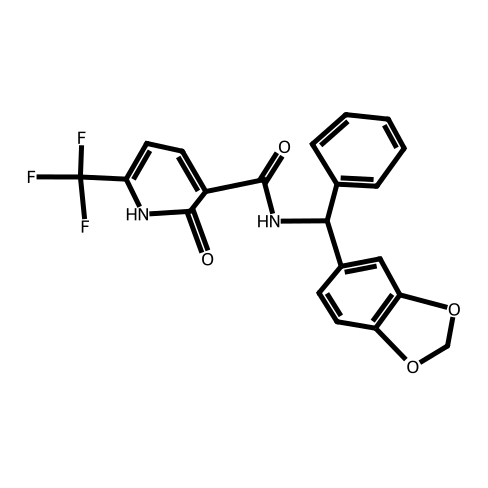 O=C(NC(c1ccccc1)c1ccc2c(c1)OCO2)c1ccc(C(F)(F)F)[nH]c1=O